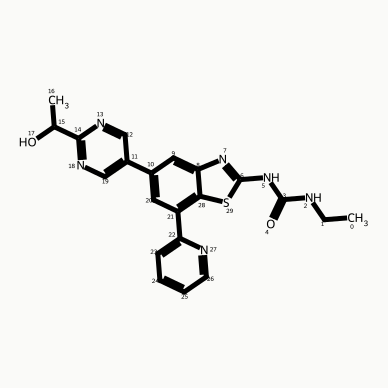 CCNC(=O)Nc1nc2cc(-c3cnc(C(C)O)nc3)cc(-c3ccccn3)c2s1